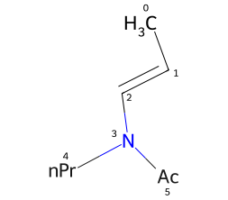 CC=CN(CCC)C(C)=O